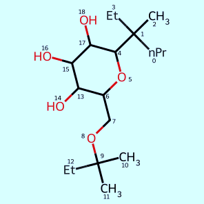 CCCC(C)(CC)C1OC(COC(C)(C)CC)C(O)C(O)C1O